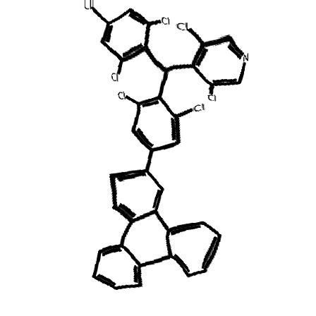 Clc1cc(Cl)c(C(c2c(Cl)cncc2Cl)c2c(Cl)cc(-c3ccc4c5ccccc5c5ccccc5c4c3)cc2Cl)c(Cl)c1